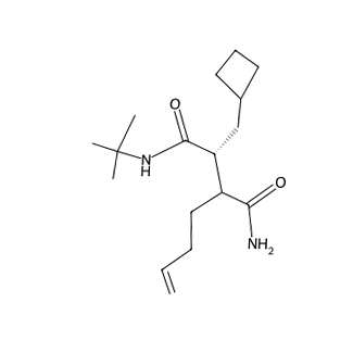 C=CCCC(C(N)=O)[C@@H](CC1CCC1)C(=O)NC(C)(C)C